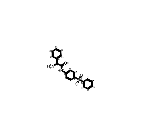 NC(C(=O)Nc1ccc(S(=O)(=O)c2ccccc2)cc1)c1ccccc1